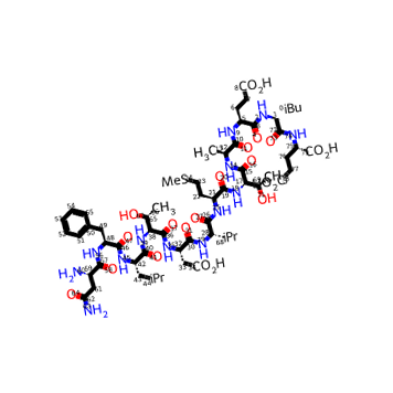 CC[C@H](C)[C@H](NC(=O)[C@H](CCC(=O)O)NC(=O)[C@H](C)NC(=O)[C@@H](NC(=O)[C@H](CCSC)NC(=O)[C@@H](NC(=O)[C@H](CC(=O)O)NC(=O)[C@@H](NC(=O)[C@H](CC(C)C)NC(=O)[C@H](Cc1ccccc1)NC(=O)[C@@H](N)CC(N)=O)[C@@H](C)O)C(C)C)[C@@H](C)O)C(=O)N[C@@H](CCC(=O)O)C(=O)O